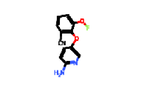 N#Cc1cccc(OF)c1Oc1ccc(N)nc1